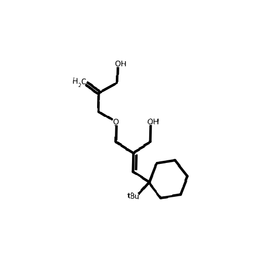 C=C(CO)COCC(=CC1(C(C)(C)C)CCCCC1)CO